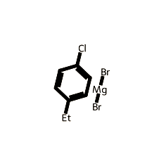 [Br][Mg][Br].[CH2]Cc1ccc(Cl)cc1